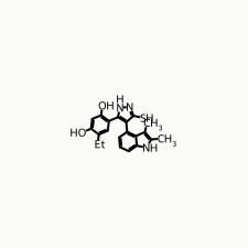 CCc1cc(-c2[nH]nc(S)c2-c2cccc3[nH]c(C)c(C)c23)c(O)cc1O